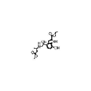 CCOC(=O)c1cc2c(C(O)CNC(C)CC(=O)OC)ccc(O)c2[nH]1